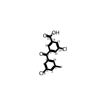 Cc1cc(Cl)cc(C(=O)c2cc(Cl)cc(C(=O)O)c2)c1